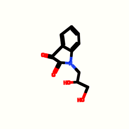 O=C1C(=O)N(CC(O)CO)c2ccccc21